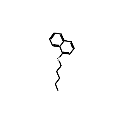 CCCCCSc1cccc2ccccc12